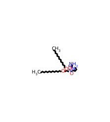 CCCCCCCCCCCCCCOCC(CNC(=O)[C@@H]1CCCN1C(=O)CN)OCCCCCCCCCCCCCC